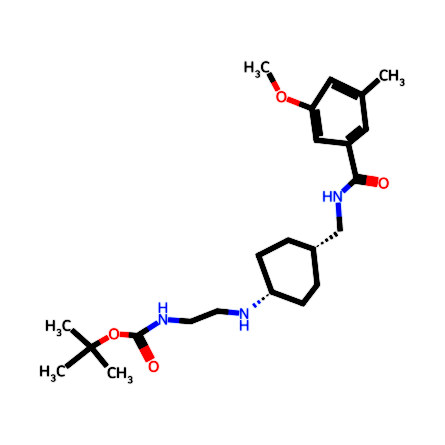 COc1cc(C)cc(C(=O)NC[C@H]2CC[C@@H](NCCNC(=O)OC(C)(C)C)CC2)c1